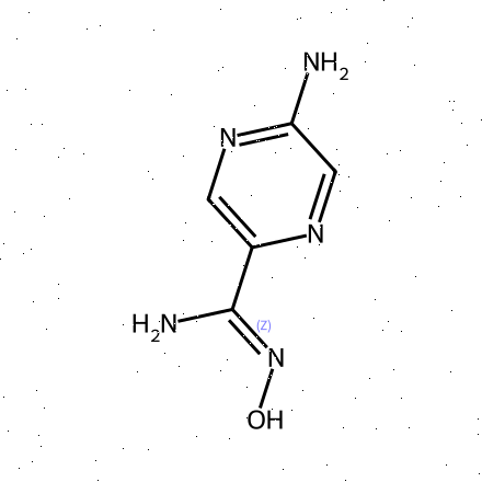 N/C(=N\O)c1cnc(N)cn1